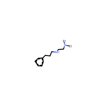 CCN(CC)CCNCCCc1ccccc1